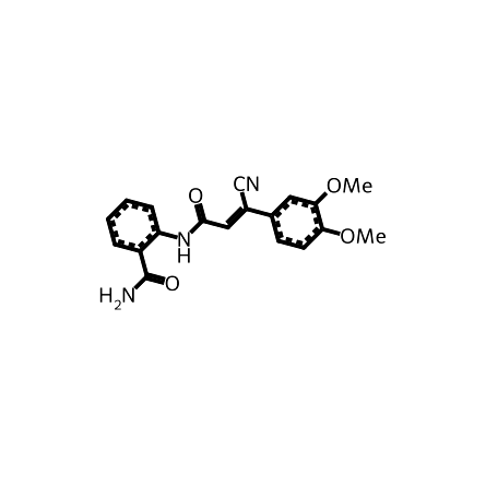 COc1ccc(C(C#N)=CC(=O)Nc2ccccc2C(N)=O)cc1OC